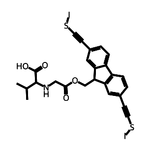 CC(C)C(NCC(=O)OCC1c2cc(C#CSI)ccc2-c2ccc(C#CSI)cc21)C(=O)O